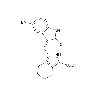 O=C1Nc2ccc(Br)cc2/C1=C/c1[nH]c(C(=O)O)c2c1CCCC2